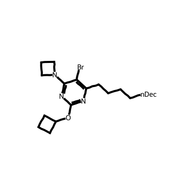 CCCCCCCCCCCCCCc1nc(OC2CCC2)nc(N2CCC2)c1Br